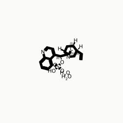 C=C[C@H]1CN2CC[C@H]1C[C@H]2[C@H](OS(=O)(=O)O)c1ccnc2ccccc12.O.O